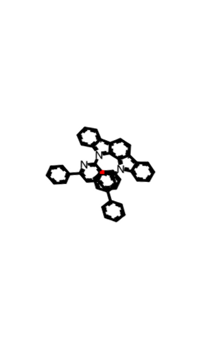 c1ccc(-c2cccc(-n3c4ccccc4c4ccc5c6ccccc6n(-c6nc(-c7ccccc7)cc7ccccc67)c5c43)c2)cc1